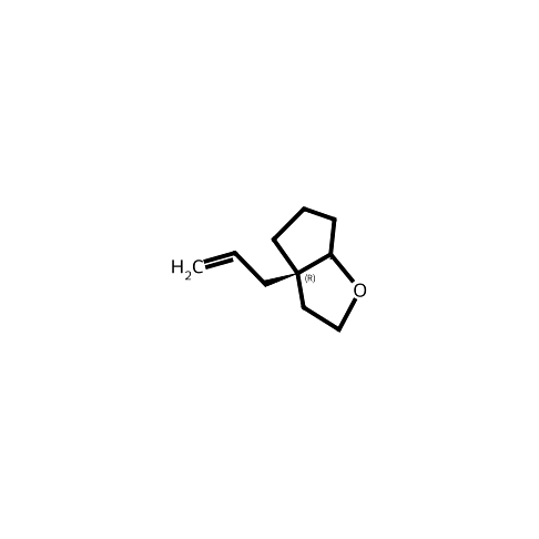 C=CC[C@@]12CCC[C]1OCC2